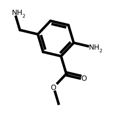 COC(=O)c1cc(CN)ccc1N